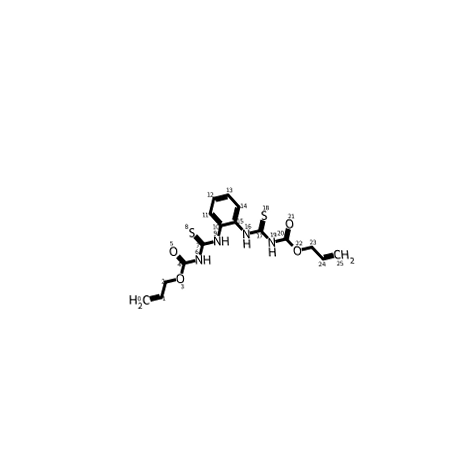 C=CCOC(=O)NC(=S)Nc1ccccc1NC(=S)NC(=O)OCC=C